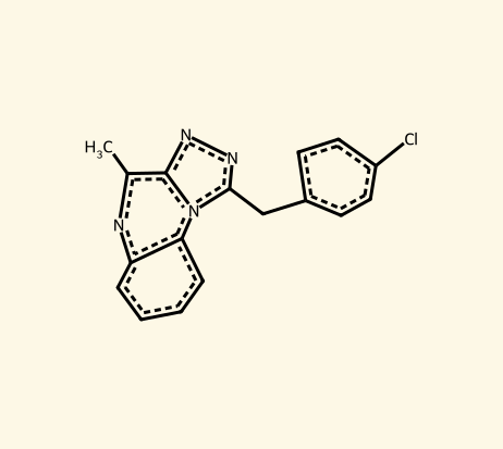 Cc1nc2ccccc2n2c(Cc3ccc(Cl)cc3)nnc12